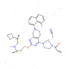 C=CC(=O)N1CCN(c2nc(OCC3S[C@]3(C)N(C)C3S[C@@]3(C)C3CCC3)nc3c2CCN(c2cccc4cccc(C)c24)C3)C[C@@H]1CC#N